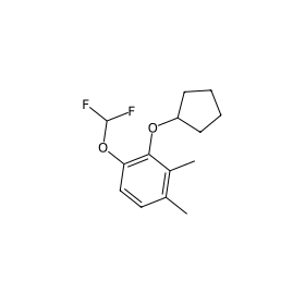 Cc1ccc(OC(F)F)c(OC2CCCC2)c1C